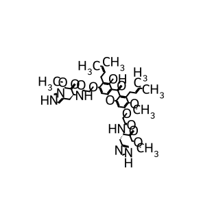 COCC(=O)[C@H](Cc1c[nH]cn1)NC(=O)COc1cc2oc3cc(OCC(=O)N[C@@H](Cc4c[nH]cn4)C(=O)COC)c(OC)c(CC=C(C)C)c3c(=O)c2c(O)c1CC=C(C)C